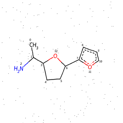 CC(N)C1CCC(c2ccco2)O1